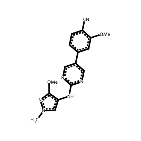 COc1cc(-c2cnc(Nc3cn(C)nc3OC)nc2)ccc1C#N